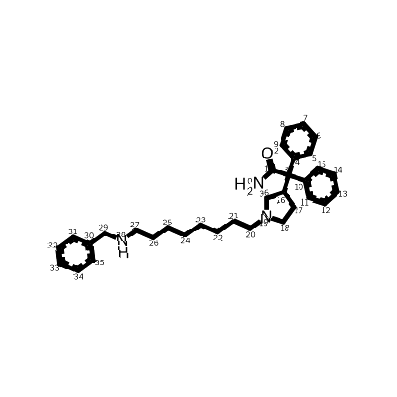 NC(=O)C(c1ccccc1)(c1ccccc1)C1CCN(CCCCCCCCNCc2ccccc2)C1